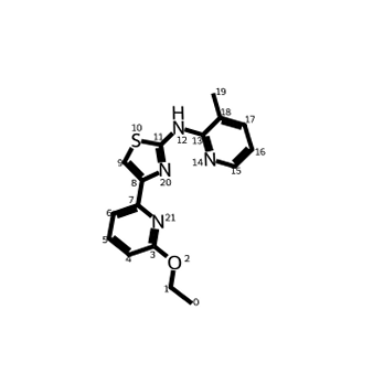 CCOc1cccc(-c2csc(Nc3ncccc3C)n2)n1